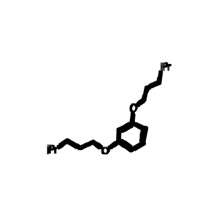 CC(C)CCCOc1cccc(OCCCC(C)C)c1